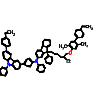 C=Cc1ccc(-c2ccc3c(c2)c2cc(-c4ccc(N(c5ccccc5)c5ccc6c(c5)C(CCCCC(CC)COc5cc(C)c(-c7ccc(C=C)cc7)cc5C)(c5ccccc5)c5ccccc5-6)cc4)ccc2n3-c2ccccc2)cc1